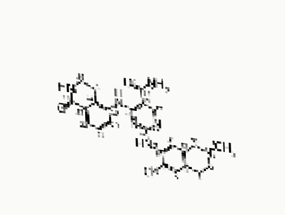 CN1CCc2cc(Cl)c(Nc3ncc(C(N)=O)c(Nc4cccc5c4CCNC5=O)n3)cc2C1